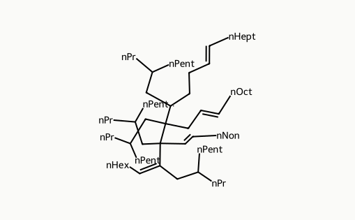 CCCCCCC=C(CC(CCC)CCCCC)C(C=CCCCCCCCCC)(CC(CCC)CCCCC)C(CC=CCCCCCCCC)(CC(CCC)CCCCC)[C](CCC=CCCCCCCC)CC(CCC)CCCCC